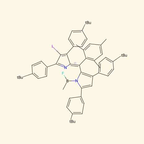 CB(F)n1c(-c2ccc(C(C)(C)C)cc2)cc(-c2ccc(C(C)(C)C)cc2)c1/C(=C1\N=C(c2ccc(C(C)(C)C)cc2)C(I)=C1c1ccc(C(C)(C)C)cc1)c1c(C)cc(C)cc1C